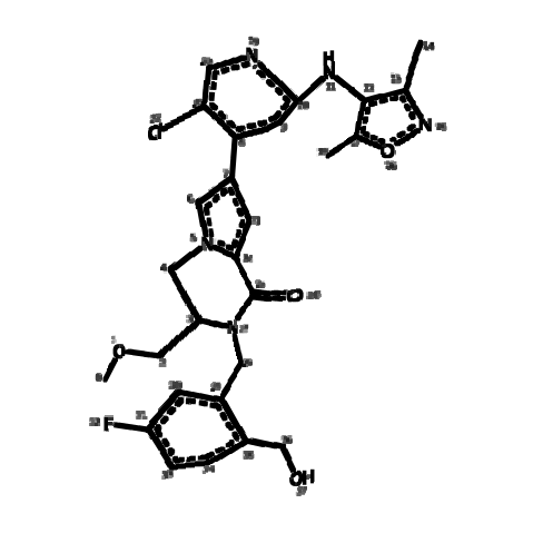 COCC1Cn2cc(-c3cc(Nc4c(C)noc4C)ncc3Cl)cc2C(=O)N1Cc1cc(F)ccc1CO